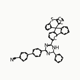 N#Cc1ccc(-c2ccc(C3=NC(c4ccccc4)NC(c4ccc5c(c4)-c4ccccc4C54c5ccccc5Sc5ccccc54)=N3)cc2)cc1